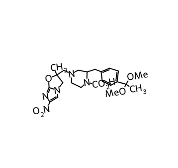 COC(C)(OC)c1ccc(CC2CN(CC3(C)Cn4cc([N+](=O)[O-])nc4O3)CCN2C(=O)O)cc1